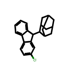 Clc1ccc2c(c1)C(C1C3CC4CC(C3)CC1C4)c1ccccc1-2